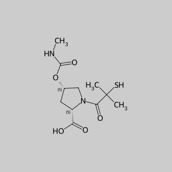 CNC(=O)O[C@H]1C[C@@H](C(=O)O)N(C(=O)C(C)(C)S)C1